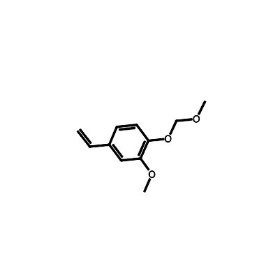 C=Cc1ccc(OCOC)c(OC)c1